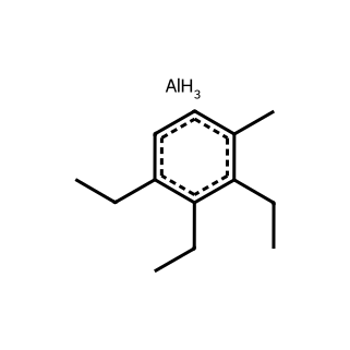 CCc1ccc(C)c(CC)c1CC.[AlH3]